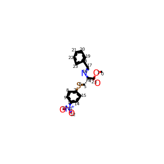 COC(=O)[C@H](CSc1ccc([N+](=O)[O-])cc1)N=Cc1ccccc1